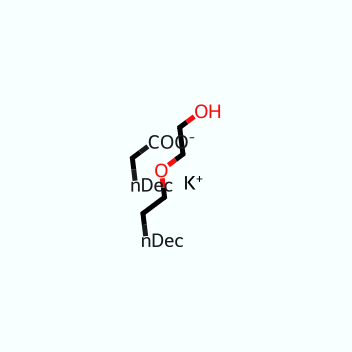 CCCCCCCCCCCC(=O)[O-].CCCCCCCCCCCCOCCO.[K+]